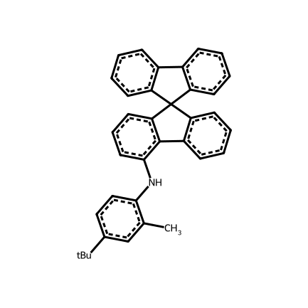 Cc1cc(C(C)(C)C)ccc1Nc1cccc2c1-c1ccccc1C21c2ccccc2-c2ccccc21